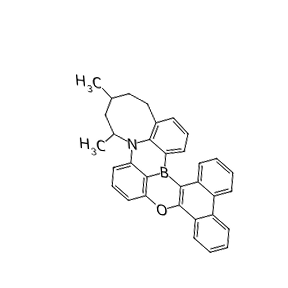 CC1CCc2cccc3c2N(c2cccc4c2B3c2c(c3ccccc3c3ccccc23)O4)C(C)C1